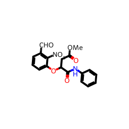 COC(=O)CC(Oc1cccc(C=O)c1[N+](=O)[O-])C(=O)Nc1ccccc1